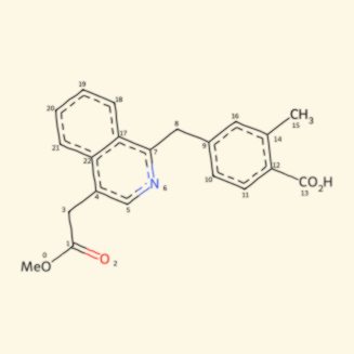 COC(=O)Cc1cnc(Cc2ccc(C(=O)O)c(C)c2)c2ccccc12